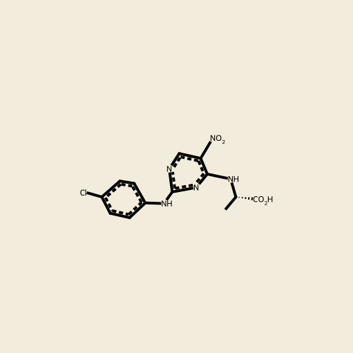 C[C@H](Nc1nc(Nc2ccc(Cl)cc2)ncc1[N+](=O)[O-])C(=O)O